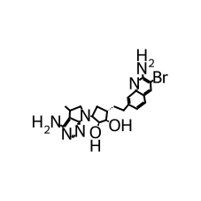 CC1CN([C@@H]2C[C@H](CCc3ccc4cc(Br)c(N)nc4c3)[C@@H](O)[C@H]2O)c2ncnc(N)c21